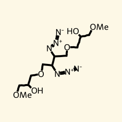 COCC(O)COCC(N=[N+]=[N-])C(COCC(O)COC)N=[N+]=[N-]